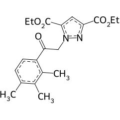 CCOC(=O)c1cc(C(=O)OCC)n(CC(=O)c2ccc(C)c(C)c2C)n1